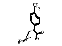 CC(C)NC[C@@H](C(=O)C(C)C)c1ccc(C(F)(F)F)cc1